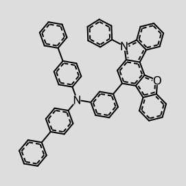 c1ccc(-c2ccc(N(c3ccc(-c4ccccc4)cc3)c3cccc(-c4cc5c(c6ccccc6n5-c5ccccc5)c5oc6ccccc6c45)c3)cc2)cc1